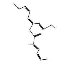 C=C(CC(=C/C=C\CC)/C=C/CC)/C(C)=C/C=C\C